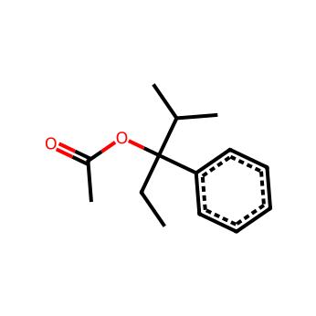 CCC(OC(C)=O)(c1ccccc1)C(C)C